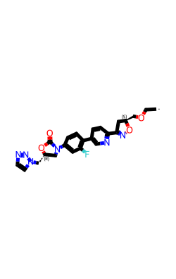 [CH2]COC[C@@H]1CC(c2ccc(-c3ccc(N4C[C@H](Cn5ccnn5)OC4=O)cc3F)cn2)=NO1